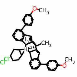 CCC1=Cc2c(-c3ccc(OC)cc3)cccc2[CH]1[Hf+2]1([CH]2C(CC)=Cc3c(-c4ccc(OC)cc4)cccc32)[CH]2CCCC[CH]21.[Cl-].[Cl-]